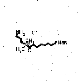 CCCCCCCCCCCCCCCC(=O)[N+](C)(C)CCCN.[Cl-]